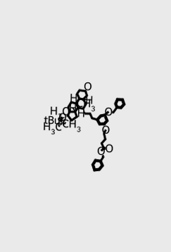 CC(C)(C)[Si](C)(C)O[C@H]1CC[C@H]2[C@@H]3[C@H](CCCc4cc(OCCCC(=O)OCc5ccccc5)cc(OCc5ccccc5)c4)C[C@H]4CC(=O)CC[C@]4(C)[C@H]3CC[C@]12C